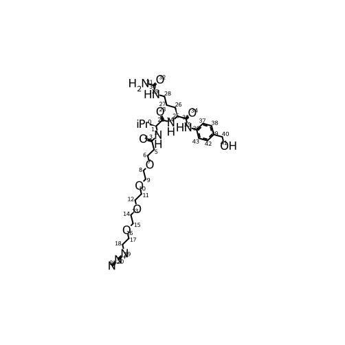 CC(C)[C@H](NC(=O)CCOCCOCCOCCOCCN=[N+]=[N-])C(=O)N[C@@H](CCCNC(N)=O)C(=O)Nc1ccc(CO)cc1